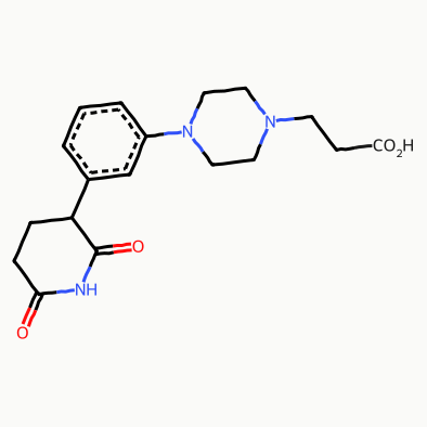 O=C(O)CCN1CCN(c2cccc(C3CCC(=O)NC3=O)c2)CC1